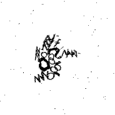 CC(=O)O[C@@H]1[C@@H](OC(C)=O)[C@H](N=[N+]=[N-])C[C@H](N=[N+]=[N-])[C@H]1O[C@H]1O[C@H](CN=[N+]=[N-])[C@@H](C)[C@@H](F)[C@H]1N=[N+]=[N-]